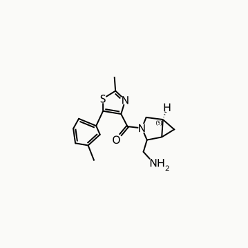 Cc1cccc(-c2sc(C)nc2C(=O)N2C[C@H]3CC3C2CN)c1